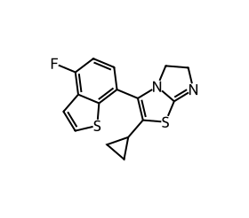 Fc1ccc(C2=C(C3CC3)SC3=NCCN32)c2sccc12